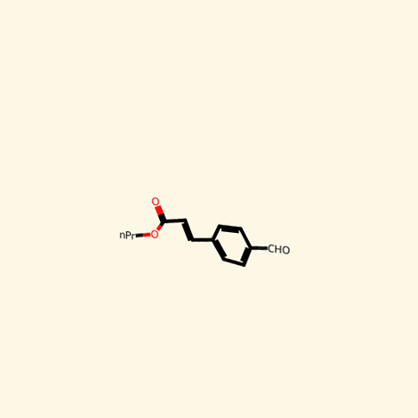 CCCOC(=O)C=Cc1ccc(C=O)cc1